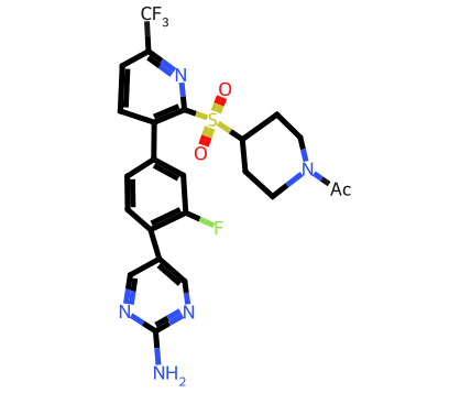 CC(=O)N1CCC(S(=O)(=O)c2nc(C(F)(F)F)ccc2-c2ccc(-c3cnc(N)nc3)c(F)c2)CC1